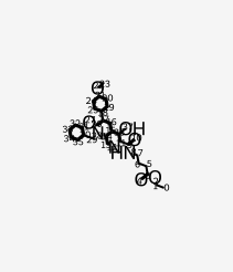 CCOC(=O)CCCNC(=O)c1ncc2c(cc(-c3ccc(OC)cc3)c(=O)n2Cc2ccccc2)c1O